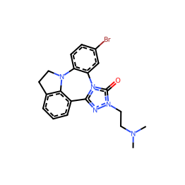 CN(C)CCn1nc2n(c1=O)-c1cc(Br)ccc1N1CCc3cccc-2c31